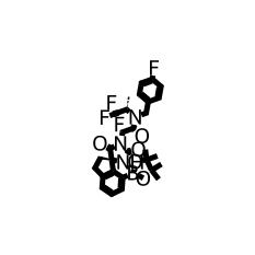 C[C@H](N(Cc1ccc(F)cc1)C(=O)CN1C(=O)N[C@@]2(CCc3cccc(B4OC(C)(C)C(C)(C)O4)c32)C1=O)C(F)(F)F